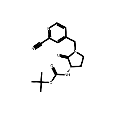 CC(C)(C)OC(=O)N[C@H]1CCN(Cc2ccnc(C#N)c2)C1=O